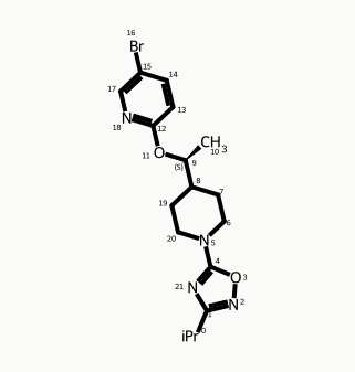 CC(C)c1noc(N2CCC([C@H](C)Oc3ccc(Br)cn3)CC2)n1